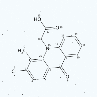 Cc1c(Cl)ccc2c(=O)c3ccccc3n(CC(=O)O)c12